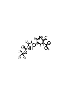 COC(=O)c1cc(OC[C@H](C)NC(=O)OC(C)(C)C)cnc1Cl